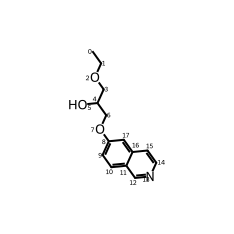 CCOCC(O)COc1ccc2cnccc2c1